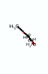 CCCCCCCCCCCCCCCC(=O)NCCCC(=O)NCCCCC(N)C=O